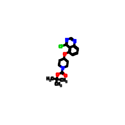 CC(C)(C)OC(=O)N1CCC(Oc2cccc3ncnc(Cl)c23)CC1